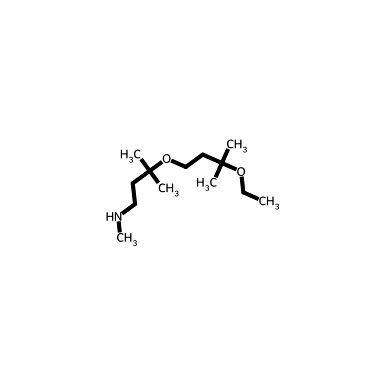 CCOC(C)(C)CCOC(C)(C)CCNC